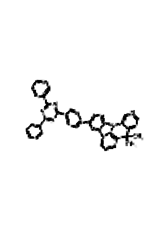 CC1(C)c2ccncc2-n2c3ccc(-c4ccc(-c5nc(-c6ccccc6)nc(-c6ccccc6)n5)cc4)cc3c3cccc1c32